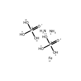 N.N.O=P(O)(O)O.O=P(O)(O)O.[Fe]